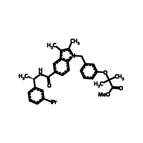 COC(=O)C(C)(C)Oc1cccc(Cn2c(C)c(C)c3cc(C(=O)N[C@@H](C)c4cccc(C(C)C)c4)ccc32)c1